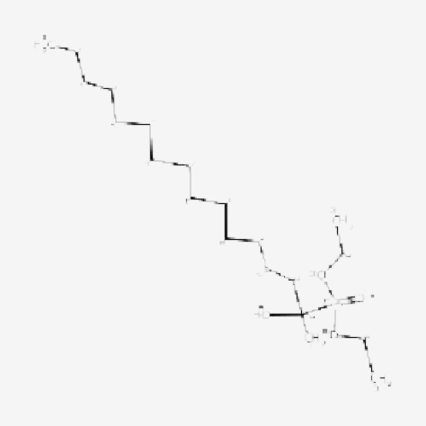 CCCCCCCCCCCCSCC(C)(O)P(=O)(OCC)OCC